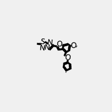 COc1cc(COc2cc[c]cc2)c2cc(-c3cn4nc(C)sc4n3)oc2c1